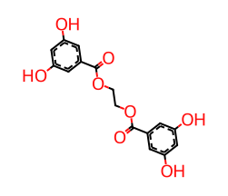 O=C(OCCOC(=O)c1cc(O)cc(O)c1)c1cc(O)cc(O)c1